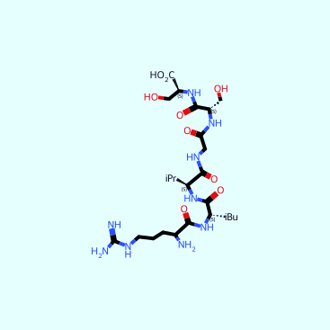 CCC(C)[C@H](NC(=O)C(N)CCCNC(=N)N)C(=O)N[C@H](C(=O)NCC(=O)N[C@@H](CO)C(=O)N[C@@H](CO)C(=O)O)C(C)C